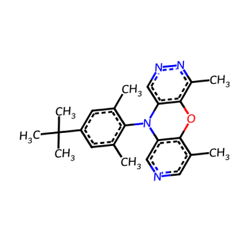 Cc1cncc2c1Oc1c(cnnc1C)N2c1c(C)cc(C(C)(C)C)cc1C